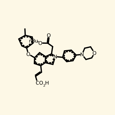 CCCCOC(=O)Cc1c2cc(Oc3ccc(C)cc3)cc(C=CC(=O)O)c2cn1-c1ccc(N2CCOCC2)cc1